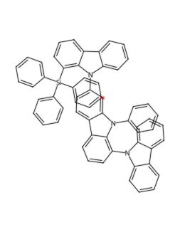 c1ccc(-n2c3cc(-n4c5ccccc5c5cccc([Si](c6ccccc6)(c6ccccc6)c6ccccc6)c54)ccc3c3cccc(-n4c5ccccc5c5ccccc54)c32)cc1